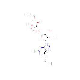 CCOC(=O)C(OC[C@H]1O[C@@H](n2cnc3c(OCC)nc(Cl)nc32)[C@H](O)[C@@H]1O)P(=O)(O)O